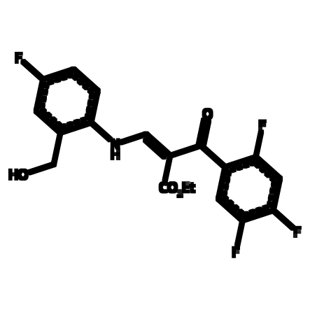 CCOC(=O)/C(=C\Nc1ccc(F)cc1CO)C(=O)c1cc(F)c(F)cc1F